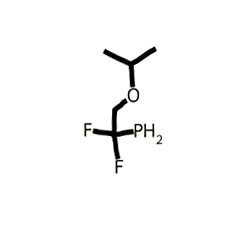 CC(C)OCC(F)(F)P